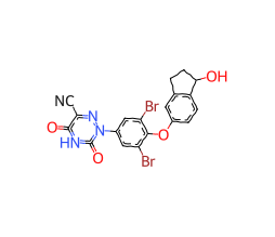 N#Cc1nn(-c2cc(Br)c(Oc3ccc4c(c3)CCC4O)c(Br)c2)c(=O)[nH]c1=O